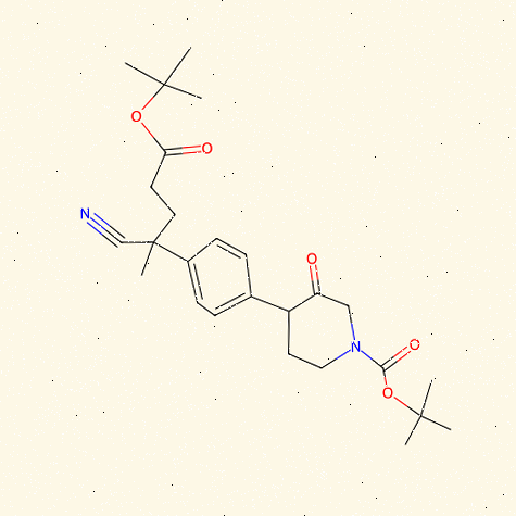 CC(C)(C)OC(=O)CCC(C)(C#N)c1ccc(C2CCN(C(=O)OC(C)(C)C)CC2=O)cc1